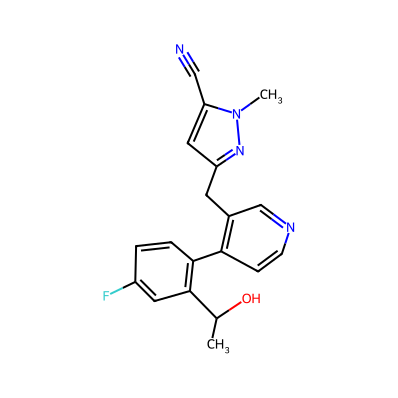 CC(O)c1cc(F)ccc1-c1ccncc1Cc1cc(C#N)n(C)n1